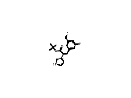 CC(C)(C)OC(=O)C(Cc1cc(F)cc(C=O)c1)[C@H]1CCNC1